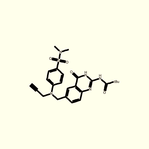 C#CCN(Cc1ccc2nc(NC(=O)C(C)(C)C)[nH]c(=O)c2c1)c1ccc(S(=O)(=O)N(C)C)cc1